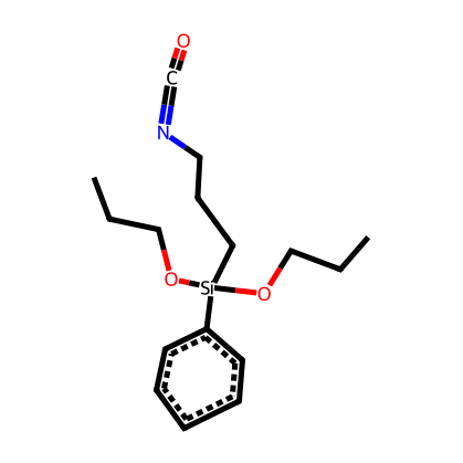 CCCO[Si](CCCN=C=O)(OCCC)c1ccccc1